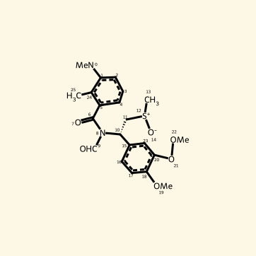 CNc1cccc(C(=O)N(C=O)[C@H](C[S+](C)[O-])c2ccc(OC)c(OOC)c2)c1C